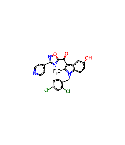 O=C(c1nc(-c2ccncc2)no1)c1c(C(F)(F)F)n(Cc2ccc(Cl)cc2Cl)c2ccc(O)cc12